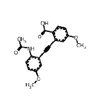 COc1ccc(NC(C)=O)c(C#Cc2cc(OC)ccc2C(=O)O)c1